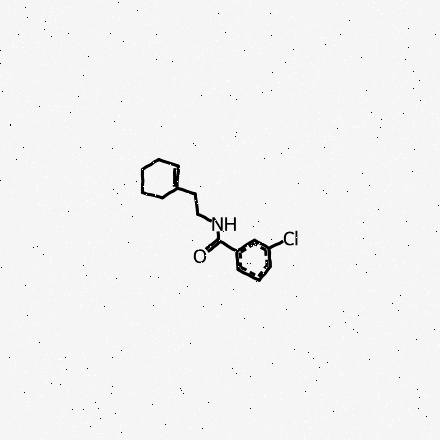 O=C(NCCC1=CCCCC1)c1cccc(Cl)c1